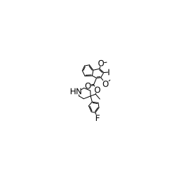 COc1c(I)c(OC)c2ccccc2c1C(=O)OC(C)C1(c2ccc(F)cc2)CCNCC1